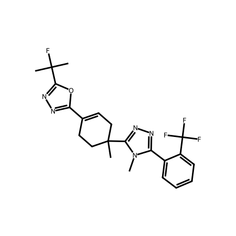 Cn1c(-c2ccccc2C(F)(F)F)nnc1C1(C)CC=C(c2nnc(C(C)(C)F)o2)CC1